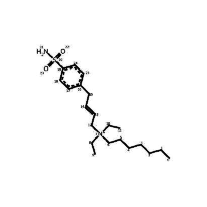 CCCCCCC[N+](CC)(CC)CC=CCc1ccc(S(N)(=O)=O)cc1